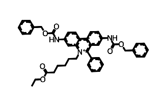 CCOC(=O)CCCCC[n+]1c(-c2ccccc2)c2cc(NC(=O)OCc3ccccc3)ccc2c2ccc(NC(=O)OCc3ccccc3)cc21